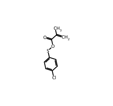 C=C(C)C(=O)OSc1ccc(Cl)cc1